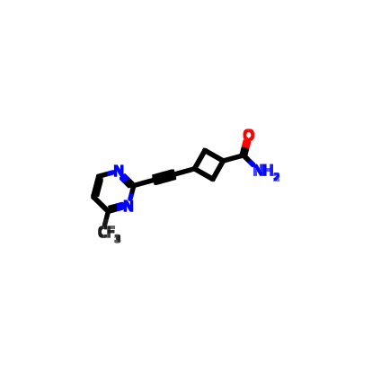 NC(=O)C1CC(C#Cc2nccc(C(F)(F)F)n2)C1